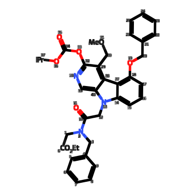 CCOC(=O)CN(Cc1ccccc1)C(=O)Cn1c2cccc(OCc3ccccc3)c2c2c(COC)c(OC(=O)OC(C)C)ncc21